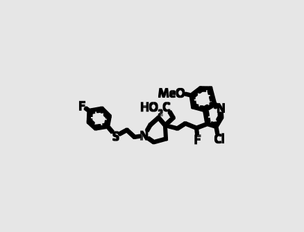 COc1ccc2ncc(Cl)c(C(F)CCC3(CC(=O)O)CCN(CCSc4ccc(F)cc4)CC3)c2c1